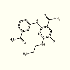 NCCNc1nc(Nc2cccc(C(N)=O)c2)c(C(N)=O)cc1F